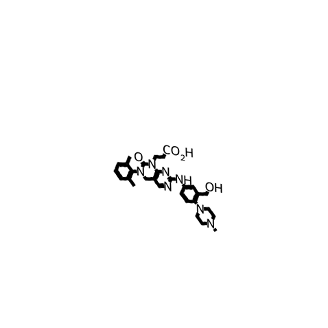 Cc1cccc(C)c1N1Cc2cnc(Nc3ccc(N4CCN(C)CC4)c(CO)c3)nc2N(CCC(=O)O)C1=O